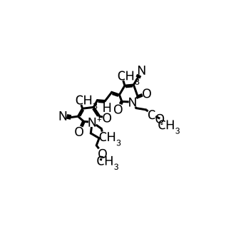 CC[N+]1(CCCOC)C(=O)C(C#N)=C(C)C(C=CC=C2C(=O)N(CCCOC)C(=O)C(C#N)=C2C)=C1O